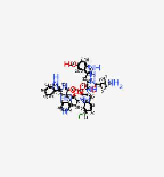 CC(C)(N)C(C)(C)C(=O)N[C@@H](Cc1c[nH]c2ccc(O)cc12)C(=O)N[C@@H](Cc1ccc(Cl)cc1)C(=O)NC(Cc1cccnc1)C(=O)N[C@H](Cc1c[nH]c2ccccc12)C(N)=O